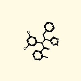 Cc1cnccc1C(=O)N(c1cc(Cl)cc(Cl)c1)C(Cc1ccccc1)c1cnsn1